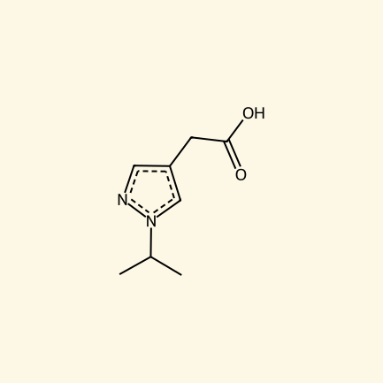 CC(C)n1cc(CC(=O)O)cn1